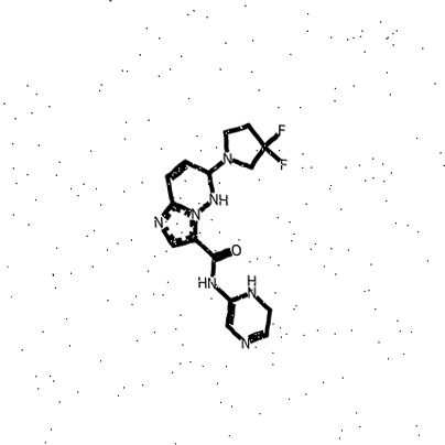 O=C(NC1=CN=CCN1)c1cnc2n1NC(N1CCC(F)(F)C1)C=C2